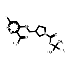 CC(C)(C)OC(=O)N1CCC(CNc2cc(Cl)nnc2C(N)=O)C1